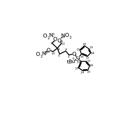 CC(C)(C)[Si](OCCCC(CO[N+](=O)[O-])(CO[N+](=O)[O-])CO[N+](=O)[O-])(c1ccccc1)c1ccccc1